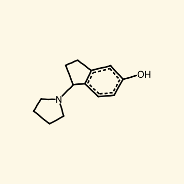 Oc1ccc2c(c1)CCC2N1CCCC1